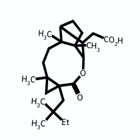 CCC(C)(C)CC12CC1(C)CCC1(C)C3CCC1(C)C(OC2=O)C3CC(=O)O